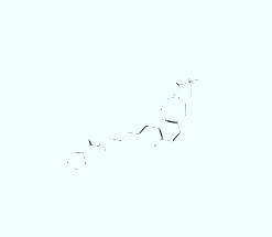 O=C(NCCC/C=C/c1c(Cl)ccc2c1CCN(C(=O)C(F)(F)F)CC2)C1CCCC1